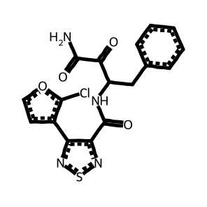 NC(=O)C(=O)C(Cc1ccccc1)NC(=O)c1nsnc1-c1ccoc1Cl